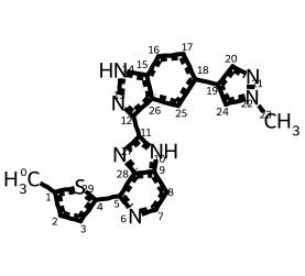 Cc1ccc(-c2nccc3[nH]c(-c4n[nH]c5ccc(-c6cnn(C)c6)cc45)nc23)s1